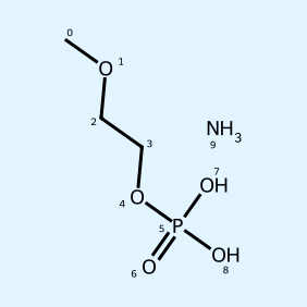 COCCOP(=O)(O)O.N